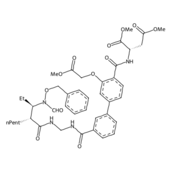 CCCCC[C@@H](C(=O)NCNC(=O)c1cccc(-c2ccc(C(=O)N[C@@H](CC(=O)OC)C(=O)OC)c(OCC(=O)OC)c2)c1)[C@@H](CC)N(C=O)OCc1ccccc1